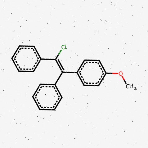 COc1ccc(/C(=C(\Cl)c2ccccc2)c2ccccc2)cc1